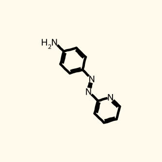 Nc1ccc(N=Nc2ccccn2)cc1